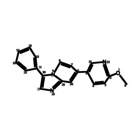 COc1ccc(-c2ccn3c(-c4ccccc4)cnc3c2)cn1